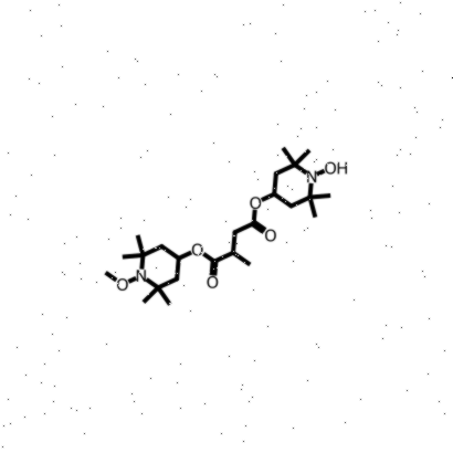 CON1C(C)(C)CC(OC(=O)C(C)CC(=O)OC2CC(C)(C)N(O)C(C)(C)C2)CC1(C)C